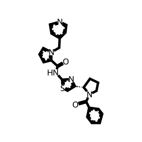 O=C(Nc1nc([C@@H]2CCCN2C(=O)c2ccccc2)cs1)c1cccn1Cc1ccncc1